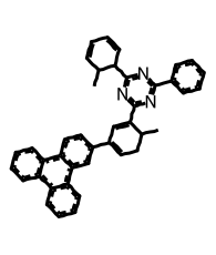 CC1CC=C(c2ccc3c4ccccc4c4ccccc4c3c2)C=C1c1nc(-c2ccccc2)nc(C2C=CC=CC2C)n1